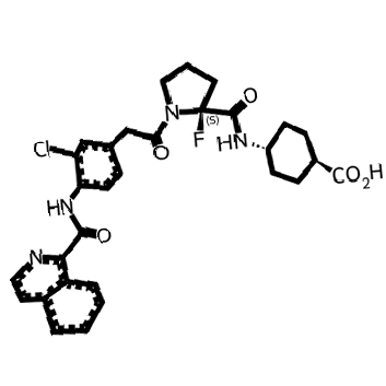 O=C(Nc1ccc(CC(=O)N2CCC[C@]2(F)C(=O)N[C@H]2CC[C@H](C(=O)O)CC2)cc1Cl)c1nccc2ccccc12